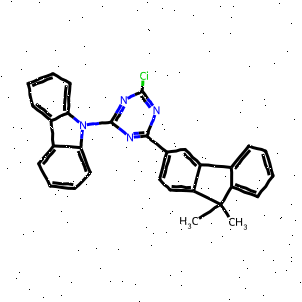 CC1(C)c2ccccc2-c2cc(-c3nc(Cl)nc(-n4c5ccccc5c5ccccc54)n3)ccc21